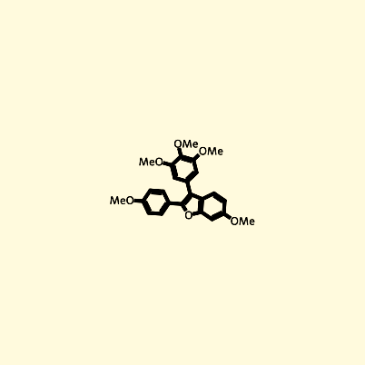 COc1ccc(-c2oc3cc(OC)ccc3c2-c2cc(OC)c(OC)c(OC)c2)cc1